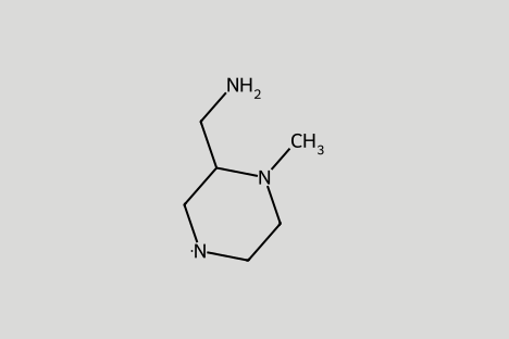 CN1CC[N]CC1CN